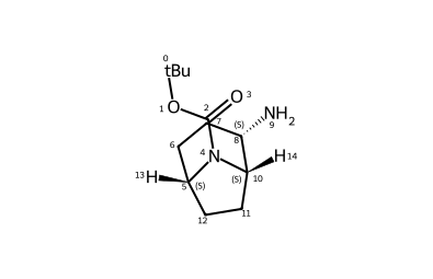 CC(C)(C)OC(=O)N1[C@H]2CC[C@H](N)[C@@H]1CC2